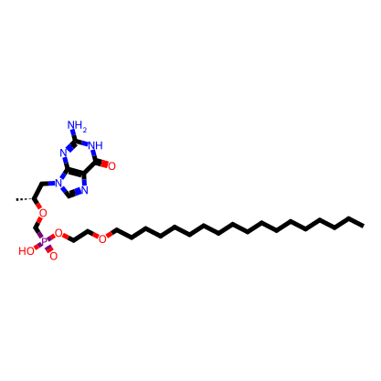 CCCCCCCCCCCCCCCCCCOCCOP(=O)(O)CO[C@H](C)Cn1cnc2c(=O)[nH]c(N)nc21